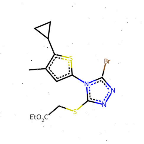 CCOC(=O)CSc1nnc(Br)n1-c1cc(C)c(C2CC2)s1